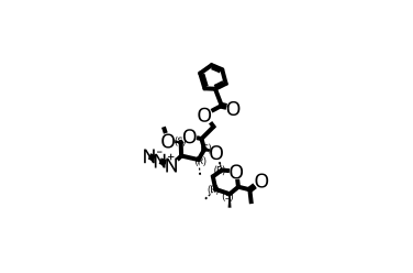 CO[C@H]1OC(COC(=O)c2ccccc2)[C@@H](O[C@H]2C[C@@H](C)[C@H](C)C(C(C)=O)O2)[C@H](C)C1N=[N+]=[N-]